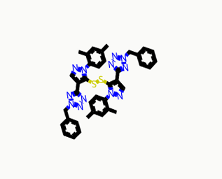 Cc1ccc(-n2ncc(-c3nnn(Cc4ccccc4)n3)c2SSc2c(-c3nnn(Cc4ccccc4)n3)cnn2-c2ccc(C)cc2C)c(C)c1